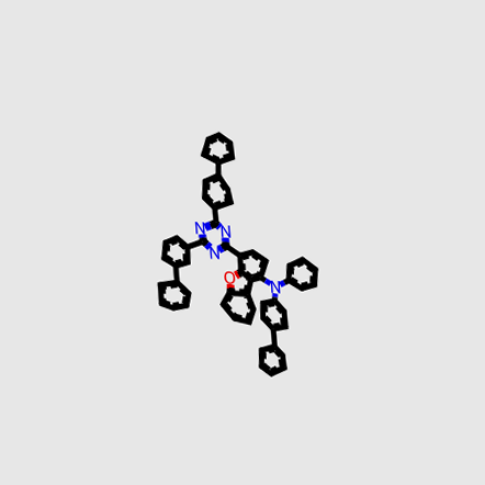 c1ccc(-c2ccc(-c3nc(-c4cccc(-c5ccccc5)c4)nc(-c4ccc(N(c5ccccc5)c5ccc(-c6ccccc6)cc5)c5c4oc4ccccc45)n3)cc2)cc1